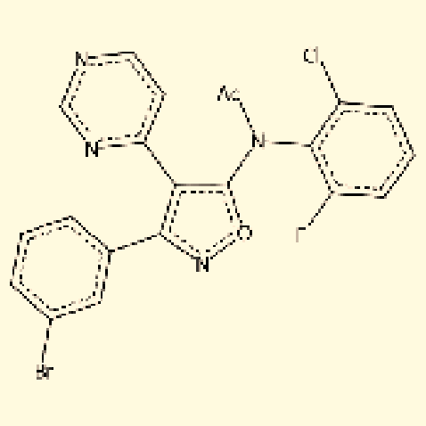 CC(=O)N(c1onc(-c2cccc(Br)c2)c1-c1ccncn1)c1c(F)cccc1Cl